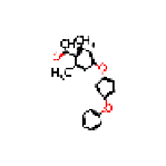 CC(=O)c1c(C)cc(Oc2ccc(Oc3ccccc3)cc2)cc1C